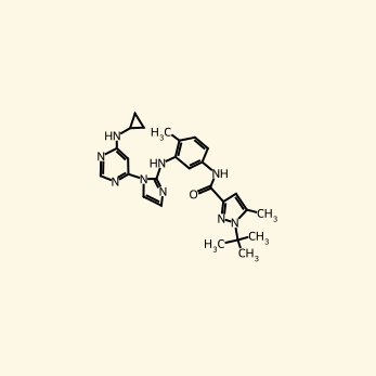 Cc1ccc(NC(=O)c2cc(C)n(C(C)(C)C)n2)cc1Nc1nccn1-c1cc(NC2CC2)ncn1